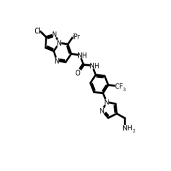 CC(C)c1c(NC(=O)Nc2ccc(-n3cc(CN)cn3)c(C(F)(F)F)c2)cnc2cc(Cl)nn12